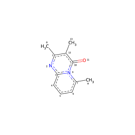 Cc1nc2cccc(C)n2c(=O)c1C